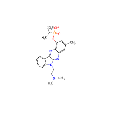 Cc1cc(OP(=O)(O)C(C)C(=O)O)c2nc3c4ccccc4n(CCN(C)C)c3nc2c1